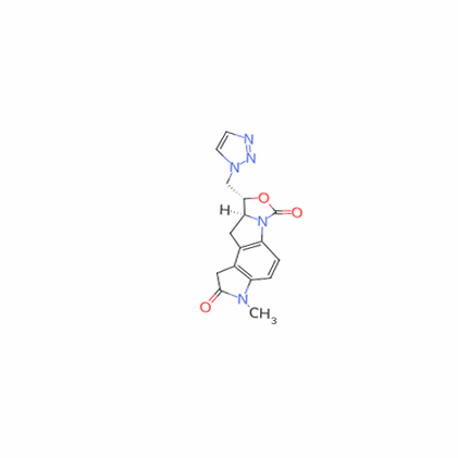 CN1C(=O)Cc2c1ccc1c2C[C@H]2[C@H](Cn3ccnn3)OC(=O)N12